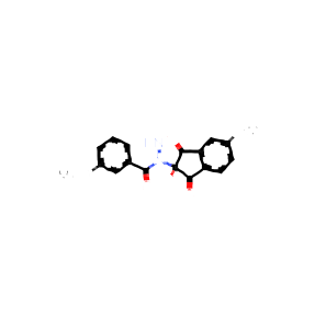 COc1cccc(C(=O)N(N)C2(O)C(=O)c3ccc(OC)cc3C2=O)c1